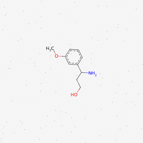 COc1cccc(C(N)CCO)c1